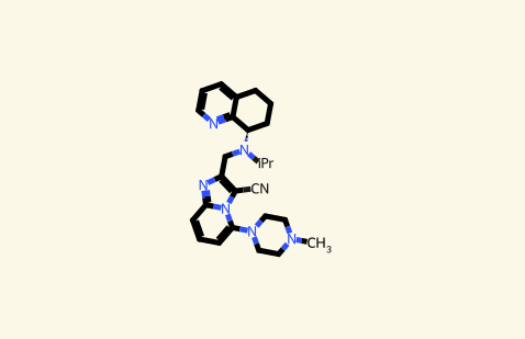 CC(C)N(Cc1nc2cccc(N3CCN(C)CC3)n2c1C#N)[C@H]1CCCc2cccnc21